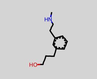 CNCCc1cccc(CCCO)c1